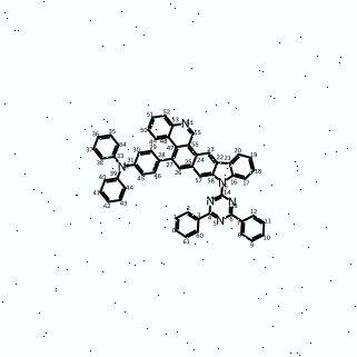 c1ccc(-c2nc(-c3ccccc3)nc(-n3c4ccccc4c4cc5c(cc(-c6ccc(N(c7ccccc7)c7ccccc7)cc6)c6c7ccccc7ncc56)cc43)n2)cc1